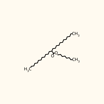 CCCCCCCCCCCCC(CCCCCCCCCCCC)C(=O)OCCCCCCCC